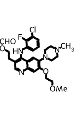 COCCOc1cc2ncc(CCOC=O)c(Nc3cccc(Cl)c3F)c2cc1N1CCN(C)CC1